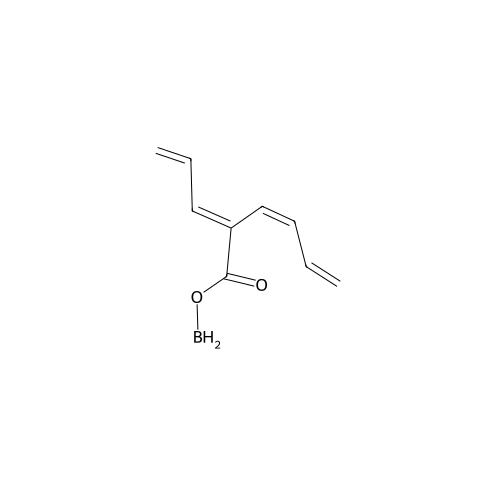 BOC(=O)C(/C=C\C=C)=C/C=C